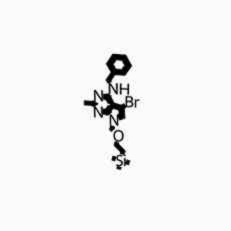 Cc1nc(NCc2ccccc2)c2c(Br)cn(COCC[Si](C)(C)C)c2n1